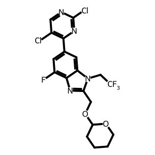 Fc1cc(-c2nc(Cl)ncc2Cl)cc2c1nc(COC1CCCCO1)n2CC(F)(F)F